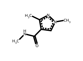 CNC(=O)c1cn(C)nc1C